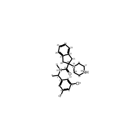 CC(c1cc(F)cc(Cl)c1)N(C)C(=O)C1(N2CCNCC2)Cc2ccccc2C1